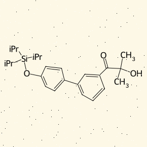 CC(C)[Si](Oc1ccc(-c2cccc(C(=O)C(C)(C)O)c2)cc1)(C(C)C)C(C)C